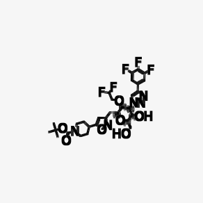 CC(C)(C)OC(=O)N1CCC(c2cc(C[C@H]3O[C@H](CO)[C@H](O)[C@H](n4cc(-c5cc(F)c(F)c(F)c5)nn4)[C@H]3OCC(F)F)no2)CC1